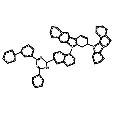 C1=CC(n2c3ccccc3c3ccc4ccccc4c32)Cc2c1c1cc3ccccc3cc1n2-c1cccc2cc(C3N=C(c4cccc(-c5ccccc5)c4)N=C(c4ccccc4)N3)ccc12